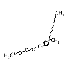 CCCCCCCCCCCCC(C)c1ccc(COCCOCCOCCOCCOC)cc1